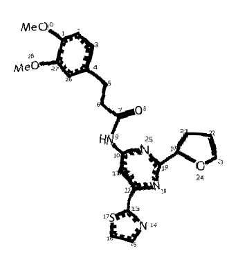 COc1ccc(CCC(=O)Nc2cc(-c3nccs3)nc(C3CC=CO3)n2)cc1OC